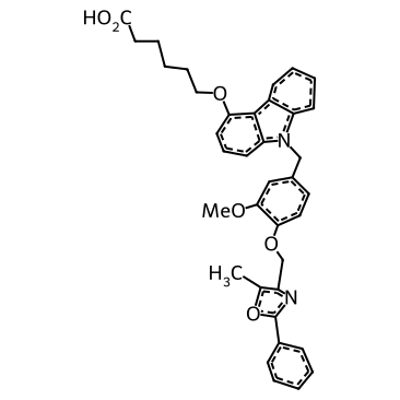 COc1cc(Cn2c3ccccc3c3c(OCCCCCC(=O)O)cccc32)ccc1OCc1nc(-c2ccccc2)oc1C